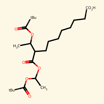 CC(OC(=O)C(CCCCCCCC(=O)O)C(C)OC(=O)C(C)(C)C)OC(=O)C(C)(C)C